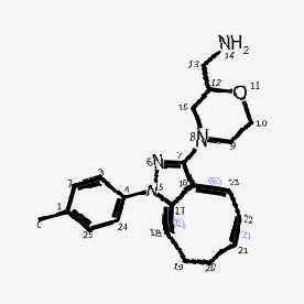 Cc1ccc(-n2nc(N3CCOC(CN)C3)c3/c2=C\CC/C=C\C=3)cc1